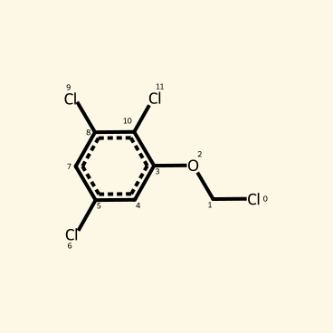 ClCOc1cc(Cl)cc(Cl)c1Cl